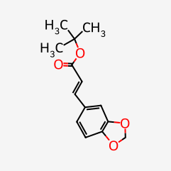 CC(C)(C)OC(=O)C=Cc1ccc2c(c1)OCO2